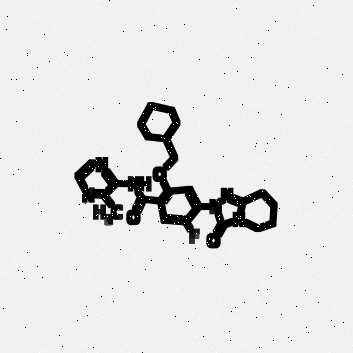 Cc1nccnc1NC(=O)c1cc(F)c(-n2nc3n(c2=O)CCCC3)cc1OCC1CCCCC1